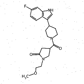 COCCN1CC(C(=O)N2CCC(c3c[nH]c4cc(F)ccc34)CC2)CC1=O